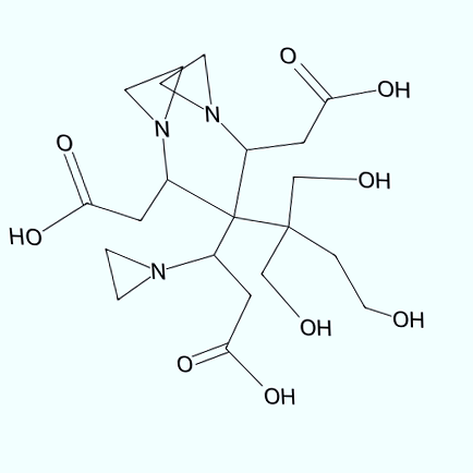 O=C(O)CC(N1CC1)C(C(CC(=O)O)N1CC1)(C(CC(=O)O)N1CC1)C(CO)(CO)CCO